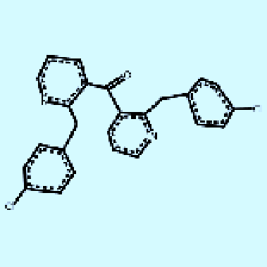 O=C(c1cccnc1Cc1ccc(Cl)cc1)c1cccnc1Cc1ccc(Cl)cc1